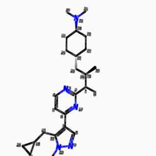 CC(c1nccc(-c2cnn(C)c2CC2CC2)n1)[C@H](C)C[C@H]1CC[C@H](N(C)C)CC1